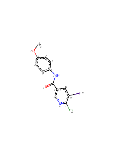 O=C(Nc1ccc(OC(F)(F)F)cc1)c1cnc(Cl)c(I)c1